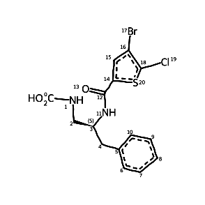 O=C(O)NC[C@H](Cc1ccccc1)NC(=O)c1cc(Br)c(Cl)s1